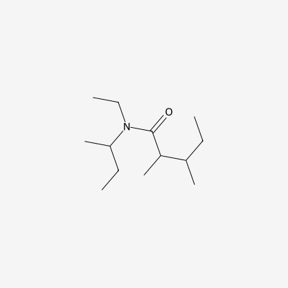 CCC(C)C(C)C(=O)N(CC)C(C)CC